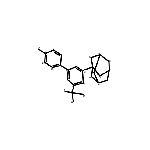 Cc1ccc(-c2cc(C(C)(C)C)cc(C34CC5CC(CC(C5)C3)C4)c2)cc1